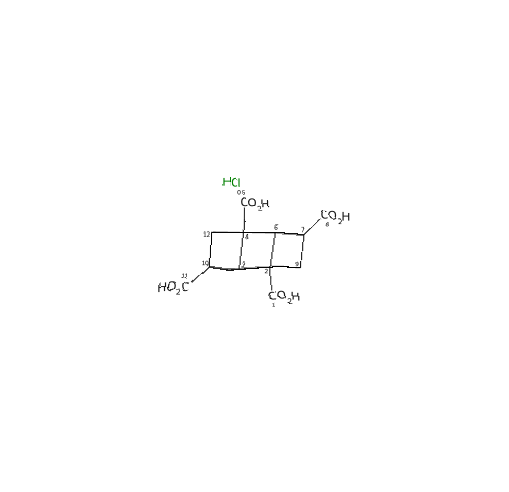 Cl.O=C(O)C12C3C4(C(=O)O)C1C1(C(=O)O)C2C3(C(=O)O)C41